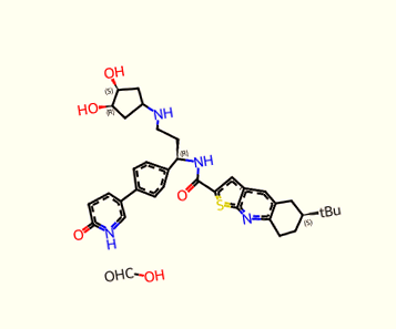 CC(C)(C)[C@H]1CCc2nc3sc(C(=O)N[C@H](CCNC4C[C@@H](O)[C@@H](O)C4)c4ccc(-c5ccc(=O)[nH]c5)cc4)cc3cc2C1.O=CO